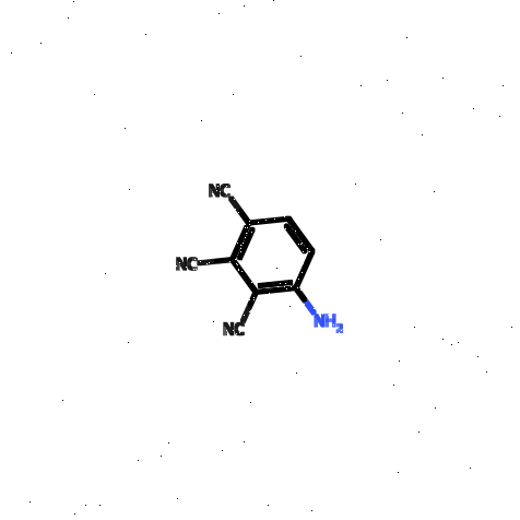 N#Cc1ccc(N)c(C#N)c1C#N